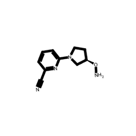 N#Cc1cccc(N2CC[C@@H](ON)C2)n1